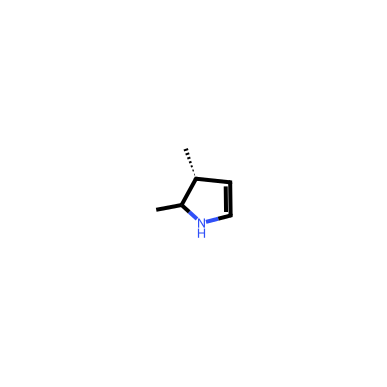 CC1NC=C[C@H]1C